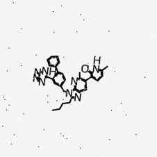 CCCCc1nc2cc(-c3ccc(C)[nH]c3=O)c(C)nc2n1Cc1ccc(-c2ccccc2)c(-c2nnn[nH]2)c1